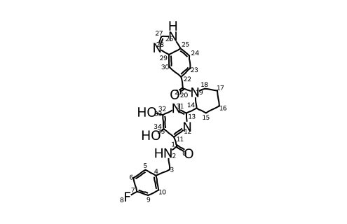 O=C(NCc1ccc(F)cc1)c1nc(C2CCCCN2C(=O)c2ccc3[nH]cnc3c2)nc(O)c1O